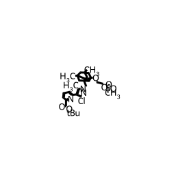 Cc1c(-c2cccc(C(=O)OC(C)(C)C)n2)c(Cl)nn1CC12CC3(C)CC(C)(C1)CC(OCCOS(C)(=O)=O)(C3)C2